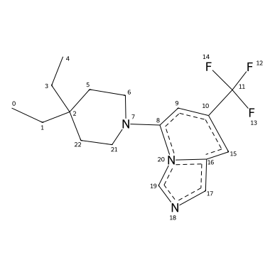 CCC1(CC)CCN(c2cc(C(F)(F)F)cc3cncn23)CC1